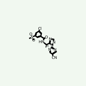 C[C@@H](NC(=O)c1cc(Cl)cc(S(C)(=O)=O)c1)c1ncnn1-c1ncc(C#N)cn1